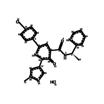 C[C@H](NC(=O)c1cc(-c2ccc(Cl)cc2)nn(-c2cnn(C)c2)c1=O)c1ccccn1.Cl